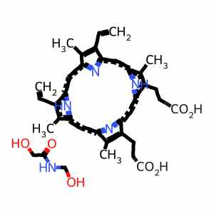 C=CC1=C(C)c2cc3[nH]c(cc4nc(cc5[nH]c(cc1n2)c(C)c5CCC(=O)O)C(CCC(=O)O)=C4C)c(C)c3C=C.O=C(CO)NCO